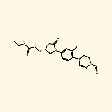 CCNC(=S)NC[C@H]1CN(c2ccc(N3C=NN(C=O)CC3)c(F)c2)C(=O)O1